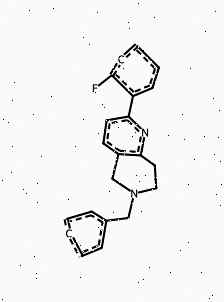 Fc1ccccc1-c1ccc2c(n1)CCN(Cc1ccccc1)C2